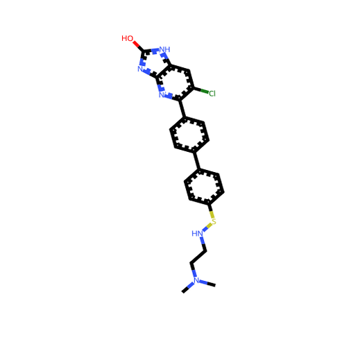 CN(C)CCNSc1ccc(-c2ccc(-c3nc4nc(O)[nH]c4cc3Cl)cc2)cc1